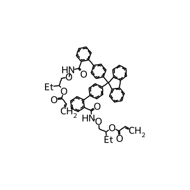 C=CC(=O)OC(CC)CONC(=O)c1ccccc1-c1ccc(C2(c3ccc(-c4ccccc4C(=O)NOCC(CC)OC(=O)C=C)cc3)c3ccccc3-c3ccccc32)cc1